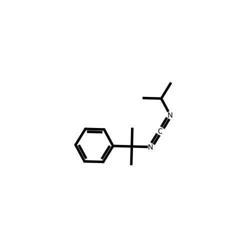 CC(C)N=C=NC(C)(C)c1ccccc1